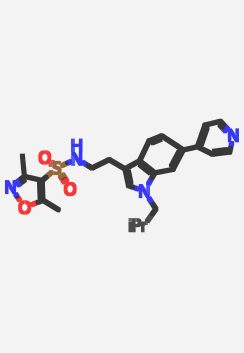 Cc1noc(C)c1S(=O)(=O)NCCc1cn(CC(C)C)c2cc(-c3ccncc3)ccc12